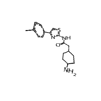 Cc1ccc(-c2csc(NC(=O)CC3CCC(N)CC3)n2)cc1